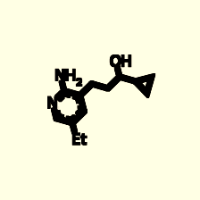 CCc1cnc(N)c(CCC(O)C2CC2)c1